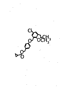 CC1(C)Cc2cc(Cl)cc(COc3ccc(COC(=O)C4CC4)cc3)c2O1